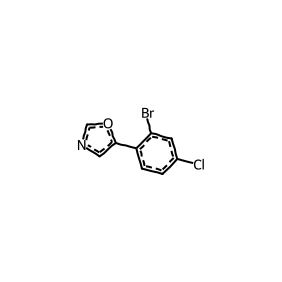 Clc1ccc(-c2cnco2)c(Br)c1